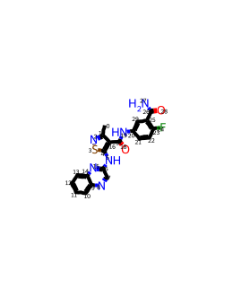 Cc1nsc(Nc2cnc3ccccc3n2)c1C(=O)Nc1ccc(F)c(C(N)=O)c1